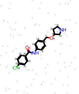 O=C(Nc1ccc(COC2CCNC2)cc1)c1ccc(Cl)cc1